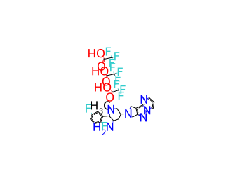 CN1C[C@H](N2Cc3nn4cccnc4c3C2)C[C@H](N)[C@H]1c1cc(F)ccc1F.O=C(O)C(F)(F)F.O=C(O)C(F)(F)F.O=C(O)C(F)(F)F